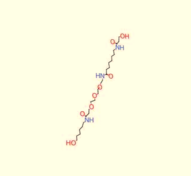 O=C(CCO)NCCCCCCCC(=O)NCCOCCOCCOCCC(=O)NCCCCCCO